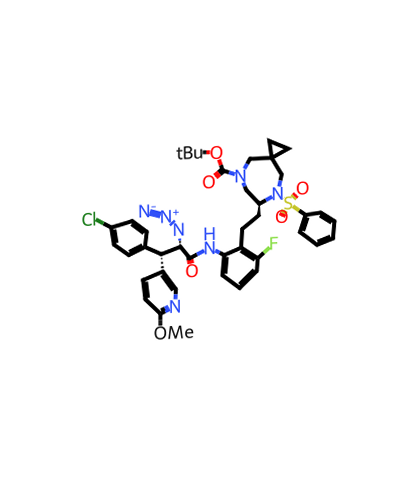 COc1ccc([C@H](c2ccc(Cl)cc2)[C@H](N=[N+]=[N-])C(=O)Nc2cccc(F)c2CC[C@H]2CN(C(=O)OC(C)(C)C)CC3(CC3)CN2S(=O)(=O)c2ccccc2)cn1